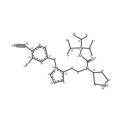 CC(C)[Si](OC(=O)N(CCc1cncn1Cc1ccc(C#N)c(F)c1)C1CCNC1)(C(C)C)C(C)C